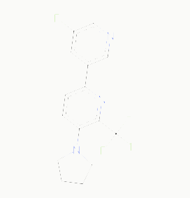 Fc1cncc(-c2ccc(N3CCCC3)c(C(F)(F)F)n2)c1